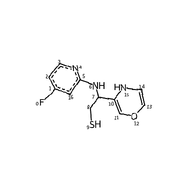 Fc1ccnc(NC(CS)C2=COC=CN2)c1